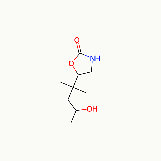 CC(O)CC(C)(C)C1CNC(=O)O1